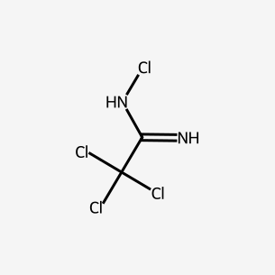 N=C(NCl)C(Cl)(Cl)Cl